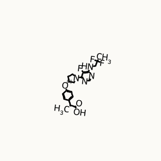 CC(C(=O)O)c1ccc(O[C@@H]2CCN(c3ncnc(NCC(C)(F)F)c3F)C2)cc1